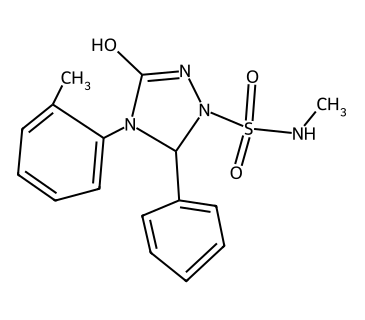 CNS(=O)(=O)N1N=C(O)N(c2ccccc2C)C1c1ccccc1